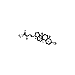 C[C@]12CC[C@H](O)C[C@H]1CC[C@@H]1[C@@H]2CC[C@]2(C)[C@@H](/C=N/NC(N)=O)CC[C@]12O